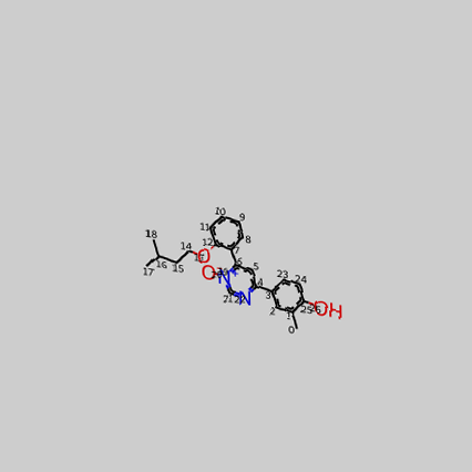 Cc1cc(-c2cc(-c3ccccc3OCCC(C)C)[n+]([O-])cn2)ccc1O